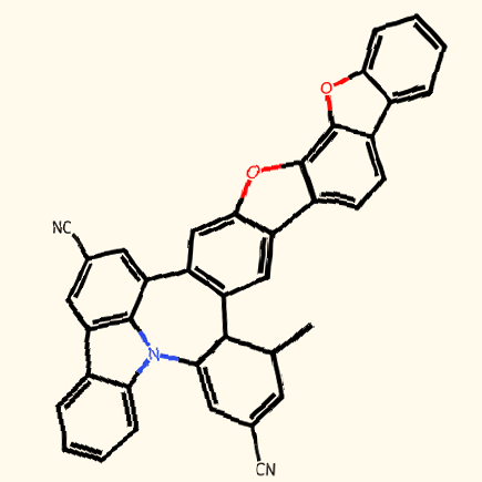 CC1C=C(C#N)C=C2C1c1cc3c(cc1-c1cc(C#N)cc4c5ccccc5n2c14)oc1c3ccc2c3ccccc3oc21